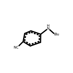 CCC(C)Nc1ccc(C#N)cc1